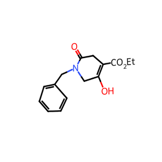 CCOC(=O)C1=C(O)CN(Cc2ccccc2)C(=O)C1